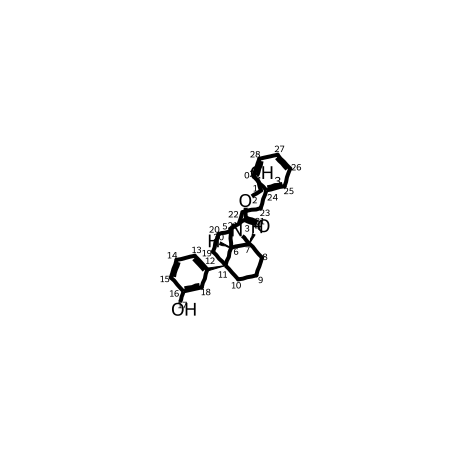 CCOC(=O)C[C@@H]1[C@H]2CCC[C@]1(c1cccc(O)c1)CCN2CCc1ccccc1